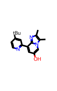 Cc1nc2c(-c3cc(C(C)(C)C)ccn3)cc(O)cn2c1C